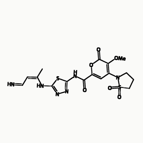 COc1c(N2CCCS2(=O)=O)cc(C(=O)Nc2nnc(N/C(C)=C\C=N)s2)oc1=O